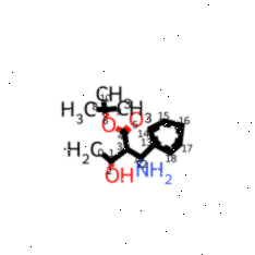 [CH2]C(O)C(C(=O)OC(C)(C)C)C(N)c1ccccc1